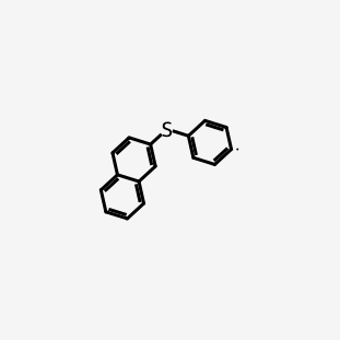 [c]1ccc(Sc2ccc3ccccc3c2)cc1